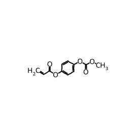 C=CC(=O)Oc1ccc(OC(=O)OC)cc1